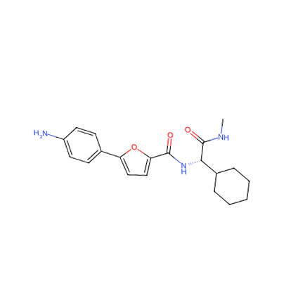 CNC(=O)[C@@H](NC(=O)c1ccc(-c2ccc(N)cc2)o1)C1CCCCC1